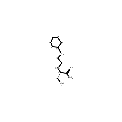 NC(=O)[C@H](CO)NCCOC1CCCCC1